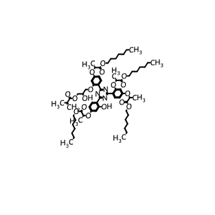 C=C(C)C(=O)OCC(O)COc1cc(OC(C)C(=O)OCCCCCCC)ccc1-c1nc(-c2ccc(OC(C)C(=O)OCCCCCCC)cc2O)nc(-c2ccc(OC(C)C(=O)OCCCCCCC)cc2OC(C)C(=O)OCCCCCCC)n1